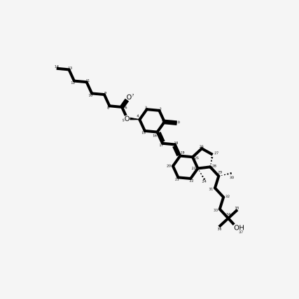 C=C1CC[C@H](OC(=O)CCCCCCC)C/C1=C/C=C1CCC[C@@]2(C)C1CC[C@@H]2[C@H](C)CCCC(C)(C)O